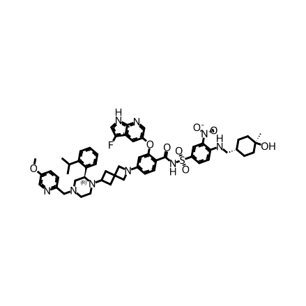 COc1ccc(CN2CCN(C3CC4(C3)CN(c3ccc(C(=O)NS(=O)(=O)c5ccc(NC[C@H]6CC[C@](C)(O)CC6)c([N+](=O)[O-])c5)c(Oc5cnc6[nH]cc(F)c6c5)c3)C4)[C@H](c3ccccc3C(C)C)C2)nc1